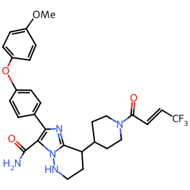 COc1ccc(Oc2ccc(-c3nc4n(c3C(N)=O)NCCC4C3CCN(C(=O)C=CC(F)(F)F)CC3)cc2)cc1